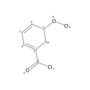 O=C(Cl)C1=CC=CC(OCl)C1